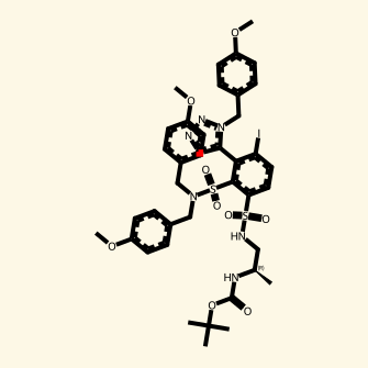 COc1ccc(CN(Cc2ccc(OC)cc2)S(=O)(=O)c2c(S(=O)(=O)NC[C@@H](C)NC(=O)OC(C)(C)C)ccc(I)c2-c2nnnn2Cc2ccc(OC)cc2)cc1